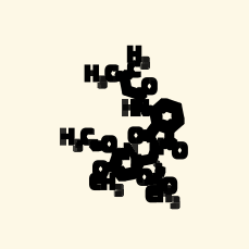 CCOc1nc([C@@H](CS(C)(=O)=O)N2C(=O)c3cccc(NC(=O)CC(C)C)c3C2=O)ccc1OC